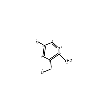 CCSc1cc(Cl)cnc1C=O